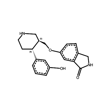 O=C1NCc2ccc(OC[C@@H]3CNCC[C@H]3c3cccc(O)c3)cc21